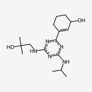 CC(C)Nc1nc(NCC(C)(C)O)nc(C2=CC(O)CCC2)n1